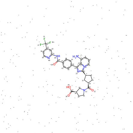 Nc1cccn2c([C@H]3CC[C@@H](C(=O)N4CC[C@@H](C(=O)O)C4)C3)nc(-c3ccc(C(=O)Nc4cc(C(F)(F)F)ccn4)cc3)c12